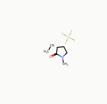 CC#N.CN1CCCC1=O.F[B-](F)(F)F